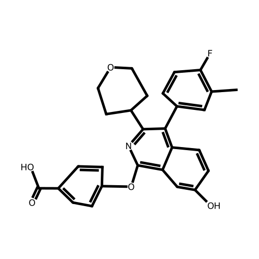 Cc1cc(-c2c(C3CCOCC3)nc(Oc3ccc(C(=O)O)cc3)c3cc(O)ccc23)ccc1F